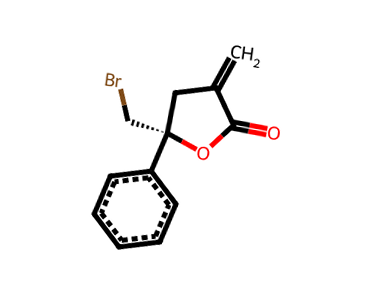 C=C1C[C@](CBr)(c2ccccc2)OC1=O